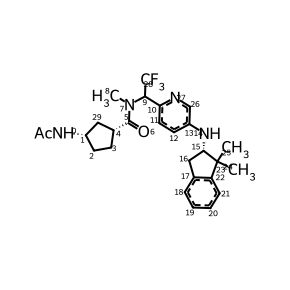 CC(=O)N[C@H]1CC[C@@H](C(=O)N(C)C(c2ccc(N[C@H]3Cc4ccccc4C3(C)C)cn2)C(F)(F)F)C1